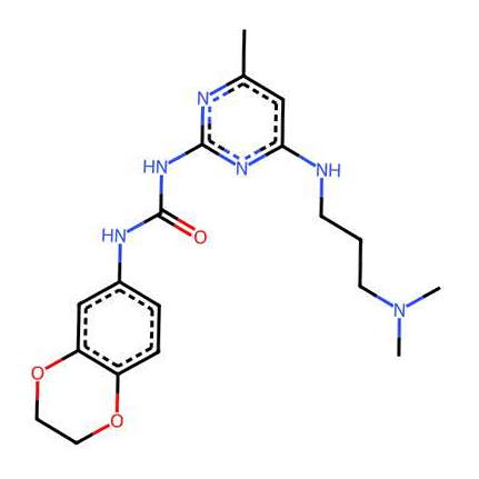 Cc1cc(NCCCN(C)C)nc(NC(=O)Nc2ccc3c(c2)OCCO3)n1